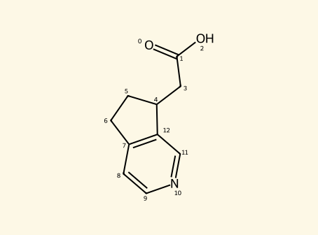 O=C(O)CC1CCc2ccncc21